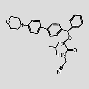 CC(C)C[C@H](OC(c1ccccc1)c1ccc(-c2ccc(N3CCOCC3)cc2)cc1)C(=O)NCC#N